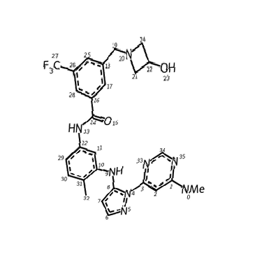 CNc1cc(-n2nccc2Nc2cc(NC(=O)c3cc(CN4CC(O)C4)cc(C(F)(F)F)c3)ccc2C)ncn1